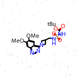 COc1cc2ncnc(N3CC(CNS(=O)(=O)NC(=O)OC(C)(C)C)C3)c2cc1OC